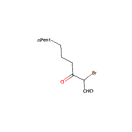 CCCCCCCCC(=O)C(Br)[C]=O